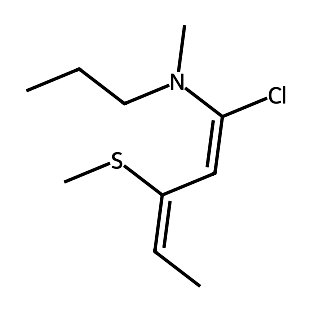 C/C=C(\C=C(\Cl)N(C)CCC)SC